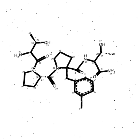 Cc1cccc(CC2(C(=O)NC(C(N)=O)[C@@H](C)O)CCCN2C(=O)[C@@H]2CCCN2C(=O)C(N)[C@@H](C)O)c1